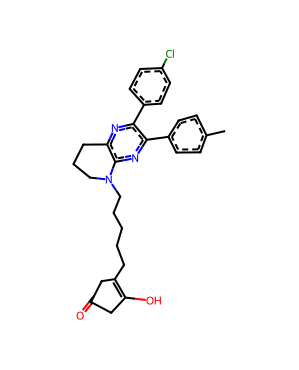 Cc1ccc(-c2nc3c(nc2-c2ccc(Cl)cc2)CCCN3CCCCCC2=C(O)CC(=O)C2)cc1